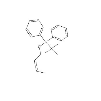 C/C=C\CO[Si](c1ccccc1)(c1ccccc1)C(C)(C)C